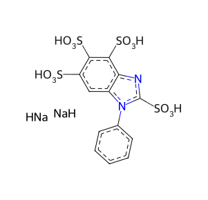 O=S(=O)(O)c1cc2c(nc(S(=O)(=O)O)n2-c2ccccc2)c(S(=O)(=O)O)c1S(=O)(=O)O.[NaH].[NaH]